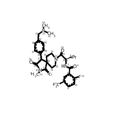 CC(C)[C@@H](NC(=O)c1cc(C(F)(F)F)ccc1F)C(=O)N1CCC2(CC1)C(=O)N(C)C(=O)C2c1ccc(CN(C)C)cc1